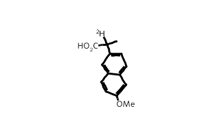 [2H]C(C)(C(=O)O)c1ccc2cc(OC)ccc2c1